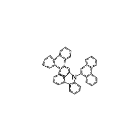 c1ccc(-c2ccccc2N(c2ccc3c4ccccc4c4ccccc4c3c2)c2cc3ccccc3c3ccccc23)cc1